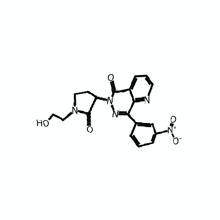 O=C1C(n2nc(-c3cccc([N+](=O)[O-])c3)c3ncccc3c2=O)CCN1CCO